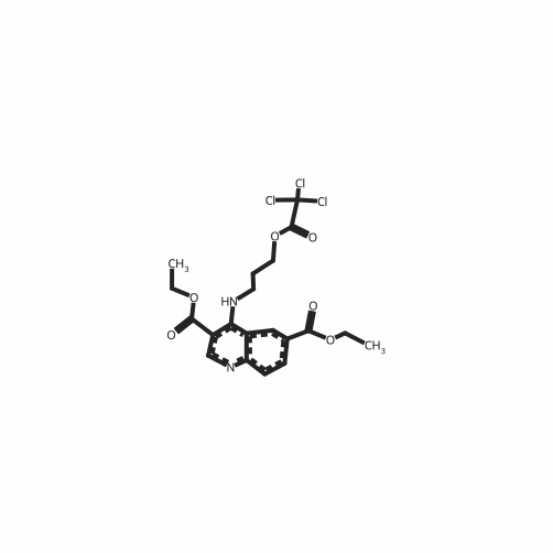 CCOC(=O)c1ccc2ncc(C(=O)OCC)c(NCCCOC(=O)C(Cl)(Cl)Cl)c2c1